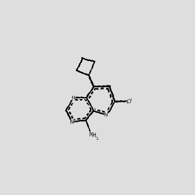 Nc1ncnc2c(C3CCC3)cc(Cl)nc12